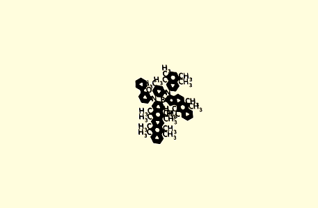 Cc1cc2c3c(c1)N(c1cccc4c1oc1ccccc14)c1cc4c(cc1B3C1=C(c3ccc5c(c3C1)C(C)(C)c1ccccc1C5(C)C)N2c1ccc2c(c1)C(C)(C)CCC2(C)C)C(C)(C)c1cc2c(cc1C4(C)C)C(C)(C)c1ccccc1C2(C)C